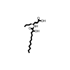 CCCCCCCCCCC(O)C(=O)N[C@H](/C=C/C(=O)O)CCCC